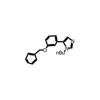 CCCCn1cncc1-c1cccc(OCc2ccccc2)c1